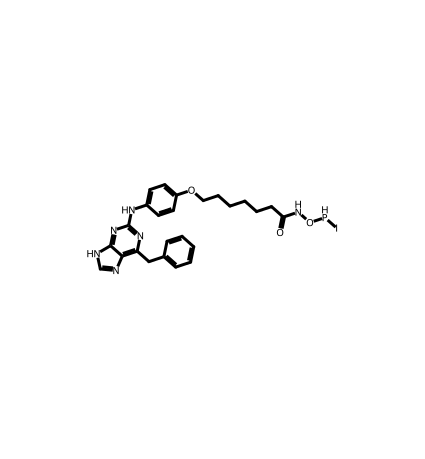 O=C(CCCCCCOc1ccc(Nc2nc(Cc3ccccc3)c3nc[nH]c3n2)cc1)NOPI